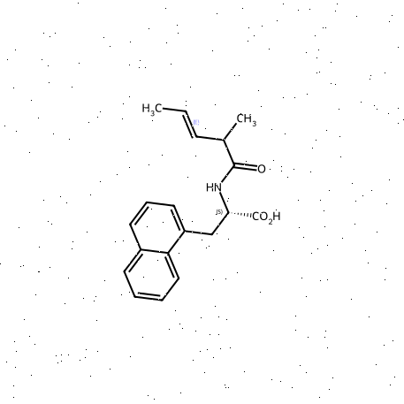 C/C=C/C(C)C(=O)N[C@@H](Cc1cccc2ccccc12)C(=O)O